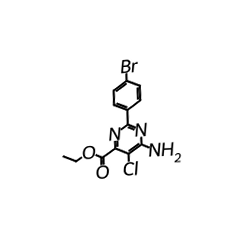 CCOC(=O)c1nc(-c2ccc(Br)cc2)nc(N)c1Cl